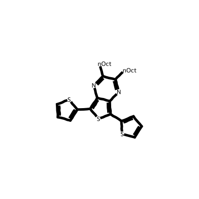 CCCCCCCCc1nc2c(-c3cccs3)sc(-c3cccs3)c2nc1CCCCCCCC